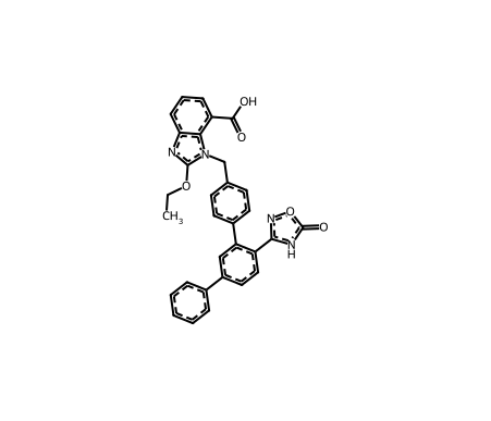 CCOc1nc2cccc(C(=O)O)c2n1Cc1ccc(-c2cc(-c3ccccc3)ccc2-c2noc(=O)[nH]2)cc1